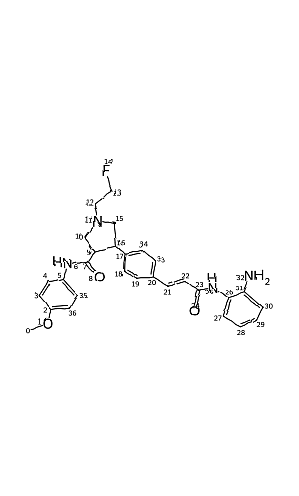 COc1ccc(NC(=O)C2CN(CCF)CC2c2ccc(/C=C/C(=O)Nc3ccccc3N)cc2)cc1